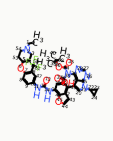 CCN1CCC(Oc2ccc(NC(=O)Nc3ccc(-c4cn(C5CC5)c5ncnc(N(C(=O)O)C(=O)OC(C)(C)C)c45)c4ccoc34)cc2C(F)(F)F)CC1